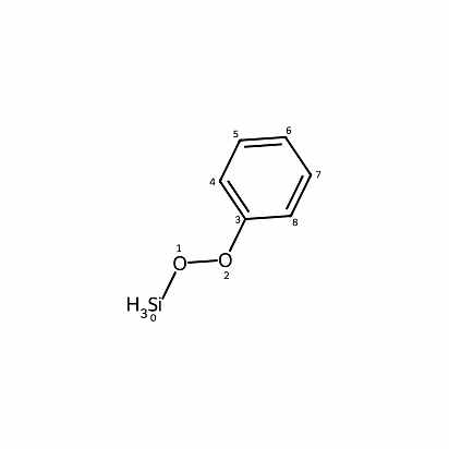 [SiH3]OOc1ccccc1